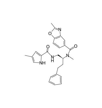 Cc1c[nH]c(C(=O)NC[C@H](CCc2ccccc2)N(C)C(=O)c2ccc3oc(C)nc3c2)c1